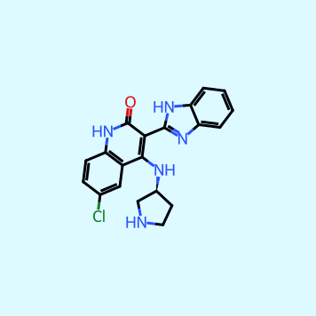 O=c1[nH]c2ccc(Cl)cc2c(N[C@H]2CCNC2)c1-c1nc2ccccc2[nH]1